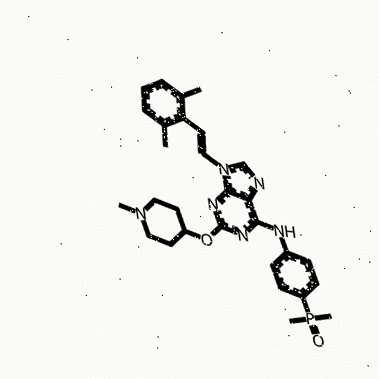 Cc1cccc(C)c1C=Cn1cnc2c(Nc3ccc(P(C)(C)=O)cc3)nc(OC3CCN(C)CC3)nc21